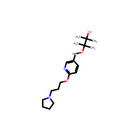 CC(C)(O)C(C)(C)OBc1ccc(OCCCN2CCCC2)nc1